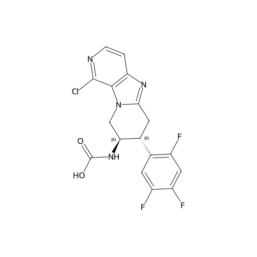 O=C(O)N[C@H]1Cn2c(nc3ccnc(Cl)c32)C[C@@H]1c1cc(F)c(F)cc1F